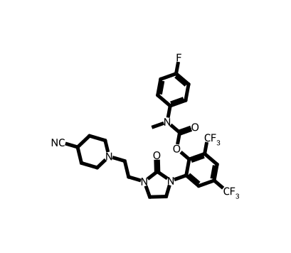 CN(C(=O)Oc1c(N2CCN(CCN3CCC(C#N)CC3)C2=O)cc(C(F)(F)F)cc1C(F)(F)F)c1ccc(F)cc1